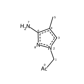 CC(=O)Cn1cc(C)c(N)n1